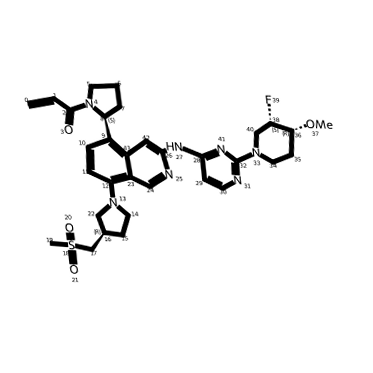 C=CC(=O)N1CCC[C@H]1c1ccc(N2CC[C@@H](CS(C)(=O)=O)C2)c2cnc(Nc3ccnc(N4CC[C@@H](OC)[C@@H](F)C4)n3)cc12